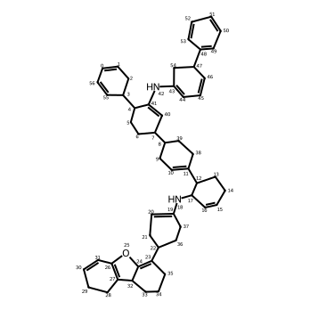 C1=CCC(C2CCC(C3CC=C(C4CCC=CC4NC4=CCC(C5=C6OC7=C(CCC=C7)C6CCC5)CC4)CC3)C=C2NC2=CC=CC(c3ccccc3)C2)C=C1